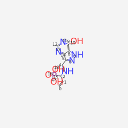 C=CC(NCc1n[nH]c2c(O)ncnc12)P(=O)(O)O